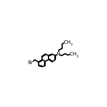 CCCCN(CCCC)c1ccc2c(ccc3c(CBr)cccc32)c1